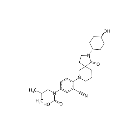 CC(C)CN(C(=O)O)c1ccc(N2CCCC3(CCN([C@H]4CC[C@H](O)CC4)C3=O)C2)c(C#N)c1